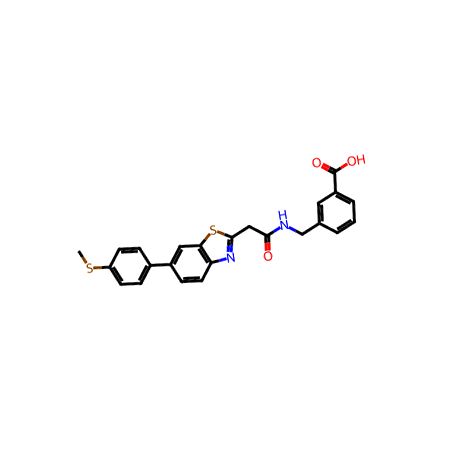 CSc1ccc(-c2ccc3nc(CC(=O)NCc4cccc(C(=O)O)c4)sc3c2)cc1